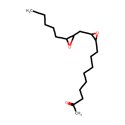 CCCCCC1OC1CC1OC1CCCCCCCC(C)=O